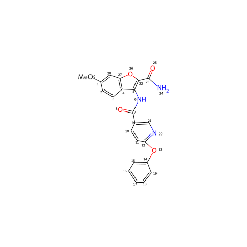 COc1ccc2c(NC(=O)c3ccc(Oc4ccccc4)nc3)c(C(N)=O)oc2c1